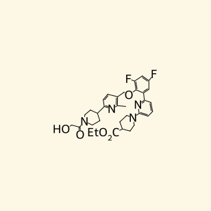 CCOC(=O)C1CCN(c2cccc(-c3cc(F)cc(F)c3OCc3ccc(C4CCN(C(=O)CO)CC4)nc3C)n2)CC1